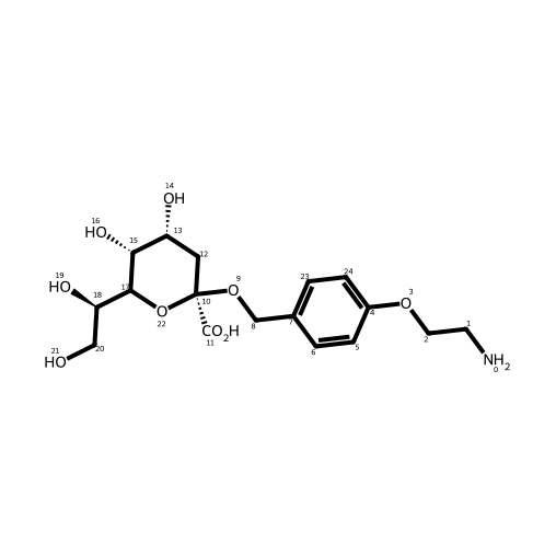 NCCOc1ccc(CO[C@]2(C(=O)O)C[C@@H](O)[C@@H](O)C([C@H](O)CO)O2)cc1